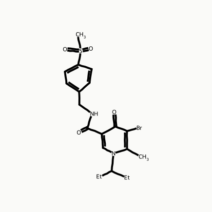 CCC(CC)n1cc(C(=O)NCc2ccc(S(C)(=O)=O)cc2)c(=O)c(Br)c1C